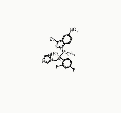 CCc1nn([C@H](C)[C@](O)(Cn2cncn2)c2ccc(F)cc2F)c2ccc([N+](=O)[O-])cc12